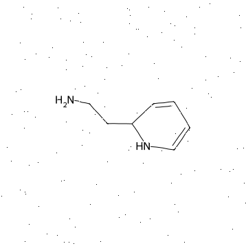 NCCC1C=CC=CN1